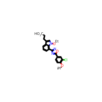 CCOn1cc(CCC(=O)O)c2cccc(-c3noc(-c4ccc(OC(C)C)c(Cl)c4)n3)c21